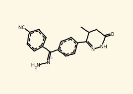 CC1CC(=O)NN=C1c1ccc(/C(=N/N)c2ccc(C#N)cc2)cc1